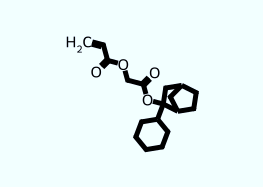 C=CC(=O)OCC(=O)OC1(C2CCCCC2)CC2CCC1C2